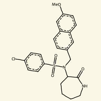 COc1ccc2cc(CN(C3CCCCNC3=O)S(=O)(=O)c3ccc(Cl)cc3)ccc2c1